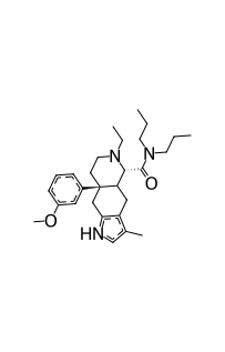 CCCN(CCC)C(=O)[C@@H]1C2Cc3c(C)c[nH]c3C[C@]2(c2cccc(OC)c2)CCN1CC